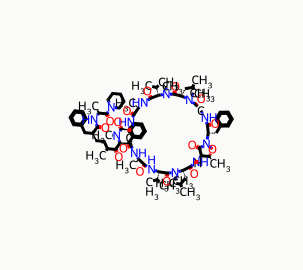 CC(C)C[C@H]1C(=O)N(C)[C@@H](C(C)C)C(=O)N[C@@H](C)C(=O)N[C@H](C(=O)N(C)[C@@H](Cc2ccccc2)C(=O)C(C)CC[C@@H](Cc2ccccc2)C(=O)N[C@@H](C)C(=O)N2CCCCC2)CC(=O)N[C@@H](C)C(=O)N[C@@H](C(C)C)C(=O)N(C)[C@@H](CC(C)C)C(=O)N[C@@H]2C(=O)N(O[C@@H]2C)[C@@H](Cc2ccccc2)C(=O)NCC(=O)N1C